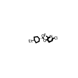 CC[C@H]1CC[C@H](C(=O)Oc2ccc(Cl)nc2F)CC1